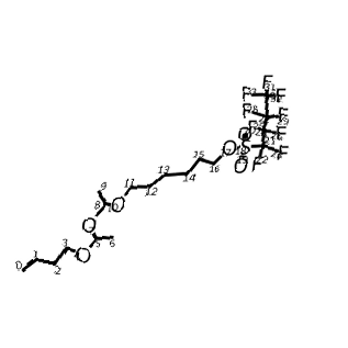 CCCCOC(C)OC(C)OCCCCCCOS(=O)(=O)C(F)(F)C(F)(F)C(F)(F)C(F)(F)F